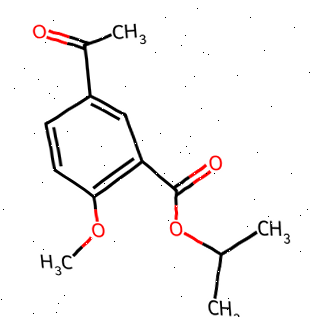 COc1ccc(C(C)=O)cc1C(=O)OC(C)C